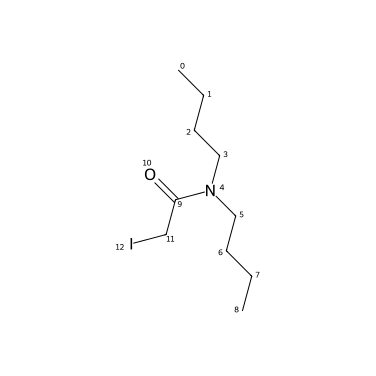 CCCCN(CCCC)C(=O)CI